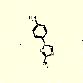 Nc1ccc(-n2cnc(C(F)(F)F)n2)cc1